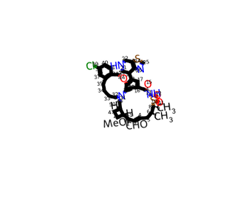 CO[C@@]1(C=O)/C=C/C[C@H](C)[C@@H](C)S(=O)(=O)NC(=O)c2cc(C3CNCc4scnc43)c3c(c2)N(CCCCc2cc(Cl)ccc2CO3)C[C@@H]2CC[C@H]21